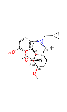 CO[C@]12CC[C@@]3(C[C@]1(C)C(C)=O)[C@H]1Cc4ccc(O)c5c4[C@@]3(CCN1CC1CC1)[C@H]2O5